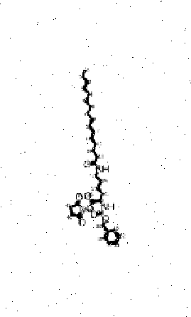 CCCCCCCCCCCCCCCC(=O)NCCCCC(NC(=O)OCc1ccccc1)C(=O)ON1C(=O)CCC1=O